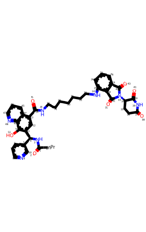 CCCC(=O)NC(c1cccnc1)c1cc(C(=O)NCCCCCCCNc2cccc3c2C(=O)N(C2CCC(=O)NC2=O)C3=O)c2cccnc2c1O